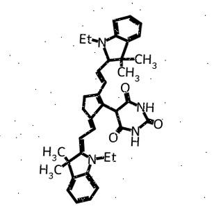 CCN1C(=CC=C2CCC(C=CC3N(CC)c4ccccc4C3(C)C)=C2C2C(=O)NC(=O)NC2=O)C(C)(C)c2ccccc21